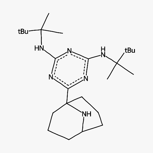 CC(C)(C)C(C)(C)Nc1nc(NC(C)(C)C(C)(C)C)nc(C23CCCC(CCC2)N3)n1